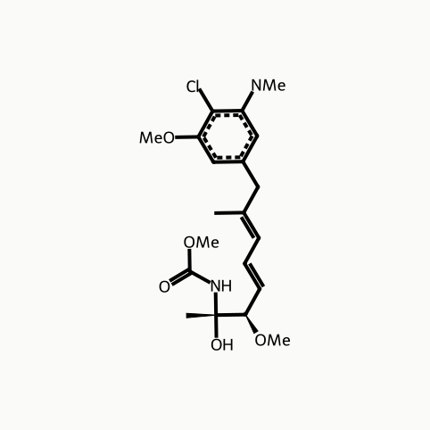 CNc1cc(C/C(C)=C/C=C/[C@@H](OC)[C@](C)(O)NC(=O)OC)cc(OC)c1Cl